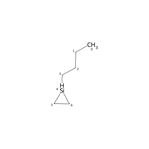 CCCC[SiH]1CC1